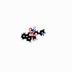 Cc1cncc(CCC(C(=O)OC(C)(C)C)N(C)C(=O)OCC2c3ccccc3-c3ccccc32)c1